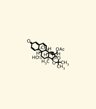 CC(=O)OCC(=O)[C@@]12OC(C)(C)O[C@@H]1C[C@H]1[C@@H]3C=CC4=CC(=O)C=C[C@]4(C)[C@H]3[C@@H](O)C[C@@]12C